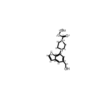 CC(C)(C)OC(=O)N1CCN(c2cc(CO)cc3ccoc23)CC1